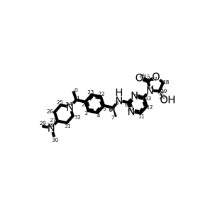 CC(c1ccc([C@H](C)Nc2nccc(N3C(=O)OC[C@@H]3O)n2)cc1)N1CCC(N(C)C)CC1